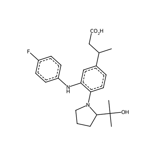 CC(CC(=O)O)c1ccc(N2CCCC2C(C)(C)O)c(Nc2ccc(F)cc2)c1